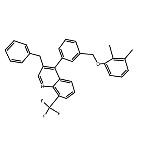 Cc1cccc(OCc2cccc(-c3c(Cc4ccccc4)cnc4c(C(F)(F)F)cccc34)c2)c1C